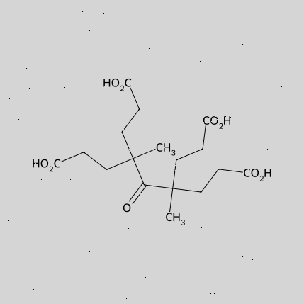 CC(CCC(=O)O)(CCC(=O)O)C(=O)C(C)(CCC(=O)O)CCC(=O)O